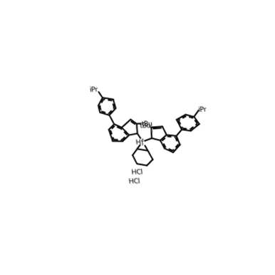 CC(C)c1ccc(-c2cccc3c2C=C(C(C)(C)C)[CH]3[Hf]2([CH]3C(C(C)(C)C)=Cc4c(-c5ccc(C(C)C)cc5)cccc43)[CH]3CCCC[CH]32)cc1.Cl.Cl